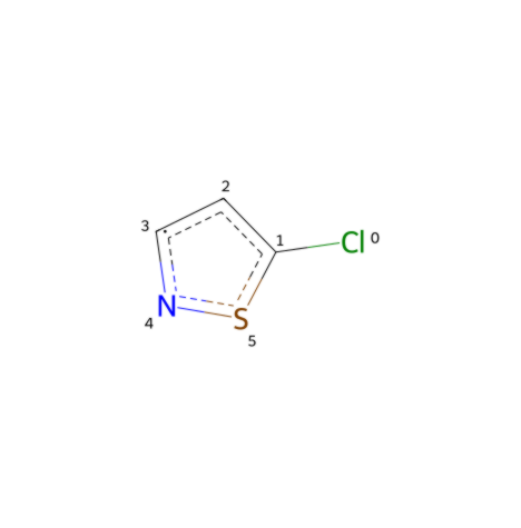 Clc1c[c]ns1